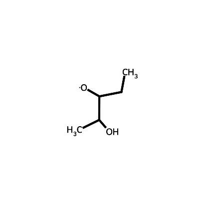 CCC([O])C(C)O